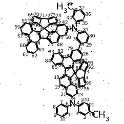 Cc1ccc(N(c2ccccc2)c2ccc3c4c(ccc3c2)-c2c(c3ccc(-c5cccc(N(c6cccc(C)c6)c6ccc7c8c(ccc7c6)-c6c(c7ccccc7c7ccccc67)C86c7ccccc7-c7ccccc76)c5)cc3c3ccccc23)C42c3ccccc3-c3ccccc32)cc1